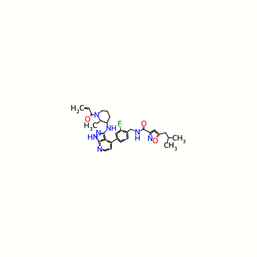 C=CC(=O)N1CCC[C@@H](Nc2n[nH]c3nccc(-c4ccc(CNC(=O)c5cc(CC(C)C)on5)c(F)c4)c23)[C@H]1C